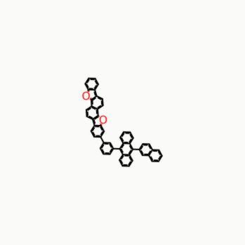 c1cc(-c2ccc3c(c2)oc2c3ccc3c2ccc2c4ccccc4oc23)cc(-c2c3ccccc3c(-c3ccc4ccccc4c3)c3ccccc23)c1